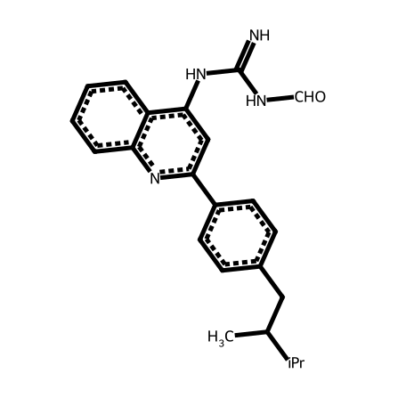 CC(C)C(C)Cc1ccc(-c2cc(NC(=N)NC=O)c3ccccc3n2)cc1